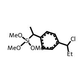 CCC(Cl)c1ccc(C(C)[Si](OC)(OC)OC)cc1